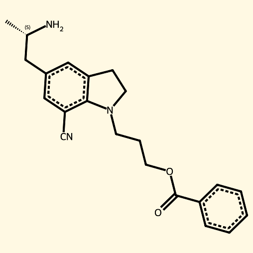 C[C@H](N)Cc1cc(C#N)c2c(c1)CCN2CCCOC(=O)c1ccccc1